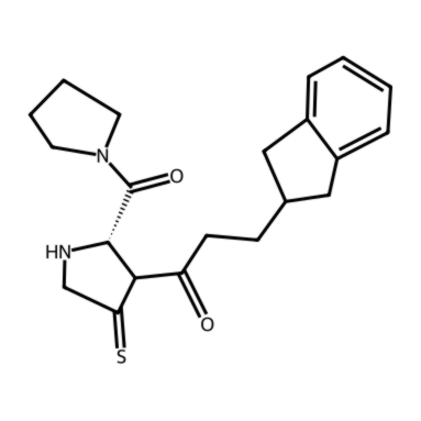 O=C(CCC1Cc2ccccc2C1)C1C(=S)CN[C@@H]1C(=O)N1CCCC1